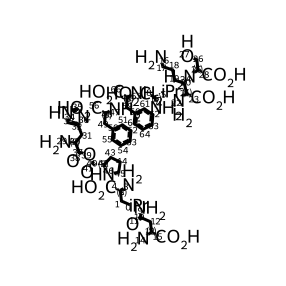 CC(C)C[C@H](N)C(=O)O.CC(C)[C@H](N)C(=O)O.NC(=O)C[C@H](N)C(=O)O.NCCCC[C@H](N)C(=O)O.N[C@@H](CO)C(=O)O.N[C@@H](Cc1c[nH]cn1)C(=O)OC(=O)[C@@H]1CCCN1.N[C@@H](Cc1ccccc1)C(=O)O.N[C@@H](Cc1ccccc1)C(=O)O